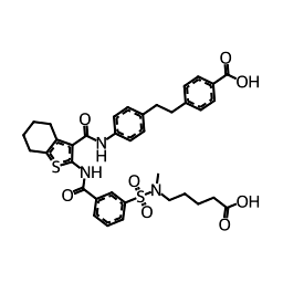 CN(CCCCC(=O)O)S(=O)(=O)c1cccc(C(=O)Nc2sc3c(c2C(=O)Nc2ccc(CCc4ccc(C(=O)O)cc4)cc2)CCCC3)c1